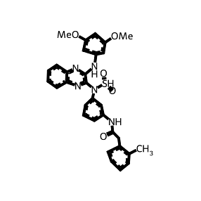 COc1cc(Nc2nc3ccccc3nc2N(c2cccc(NC(=O)Cc3ccccc3C)c2)[SH](=O)=O)cc(OC)c1